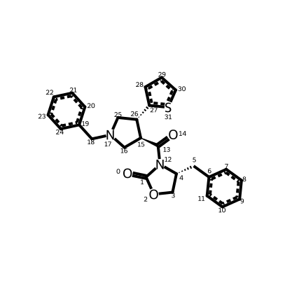 O=C1OC[C@@H](Cc2ccccc2)N1C(=O)[C@H]1CN(Cc2ccccc2)C[C@@H]1c1cccs1